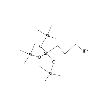 CC(C)CCC[Si](O[Si](C)(C)C)(O[Si](C)(C)C)O[Si](C)(C)C